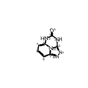 O=C1Nc2cccc3nnc(n23)N1